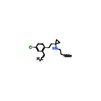 C=Cc1cc(Cl)ccc1CCC1(NCCNC)CC1